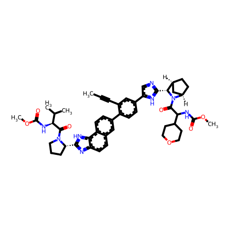 CC#Cc1cc(-c2cnc([C@@H]3[C@H]4CC[C@H](C4)N3C(=O)C(NC(=O)OC)C3CCOCC3)[nH]2)ccc1-c1ccc2c(ccc3nc([C@@H]4CCCN4C(=O)[C@@H](NC(=O)OC)C(C)C)[nH]c32)c1